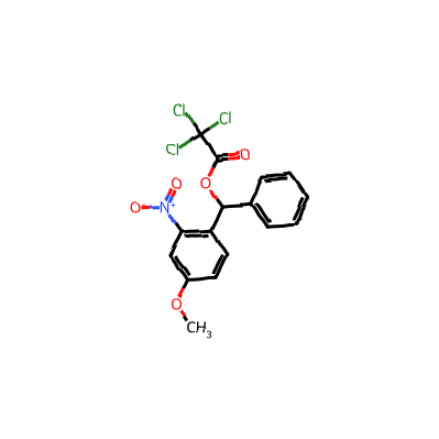 COc1ccc(C(OC(=O)C(Cl)(Cl)Cl)c2ccccc2)c([N+](=O)[O-])c1